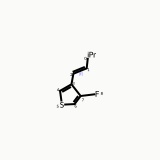 CC(C)/C=C/c1cscc1F